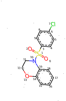 O=S(=O)(c1ccc(Cl)cc1)N1C[C]Oc2ccccc21